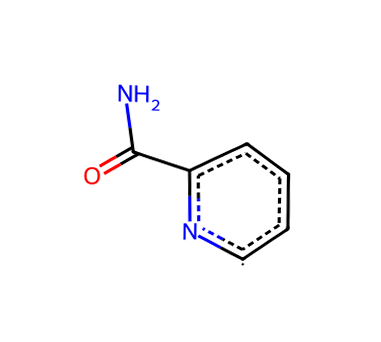 NC(=O)c1ccc[c]n1